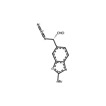 CCCCc1nc2ccc([C@@H](C=O)N=[N+]=[N-])cc2o1